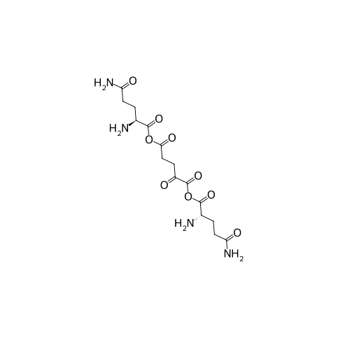 NC(=O)CC[C@H](N)C(=O)OC(=O)CCC(=O)C(=O)OC(=O)[C@@H](N)CCC(N)=O